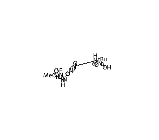 COc1cccc(F)c1-c1ncc2[nH]nc(-c3ccc(N4CCN(C(=O)CCCCCCCCC(=O)N[C@H](C(=O)N5CC[C@@H](O)C5)C(C)(C)C)CC4)cc3)c2n1